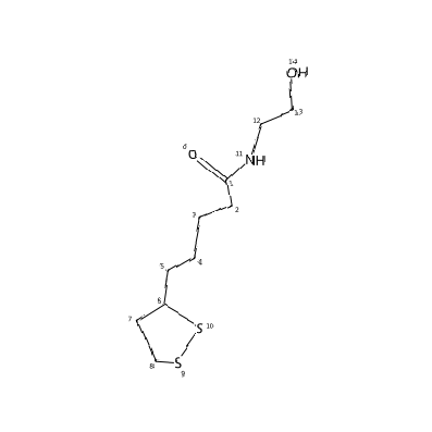 O=C(CCCCC1CCSS1)NCCO